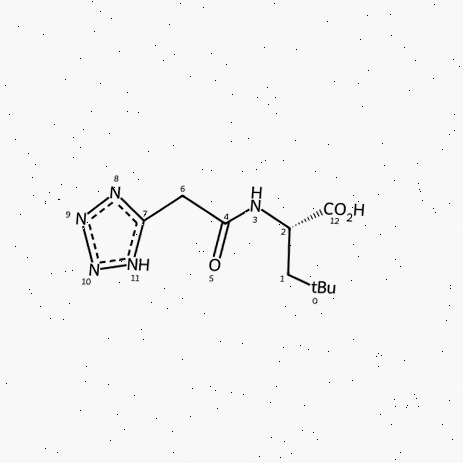 CC(C)(C)C[C@H](NC(=O)Cc1nnn[nH]1)C(=O)O